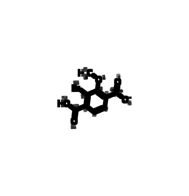 COc1c([N+](=O)[O-])ccc(C(=O)O)c1Br